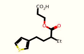 CCC(CCc1ccsc1)C(=O)OCCC(=O)O